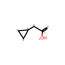 C=C(O)CC1CC1